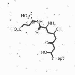 CCCCCCCC(O)CC(=O)CC(C)C[C@H](N)C(=O)N[C@H](CCC(=O)O)C(=O)O